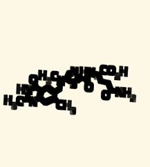 Cc1nc2cc(C)c(CN(C)c3cnc(C(=O)N[C@@H](CCC(N)=O)C(=O)O)s3)cc2c(=O)[nH]1